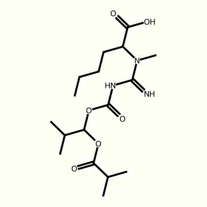 CCCCC(C(=O)O)N(C)C(=N)NC(=O)OC(OC(=O)C(C)C)C(C)C